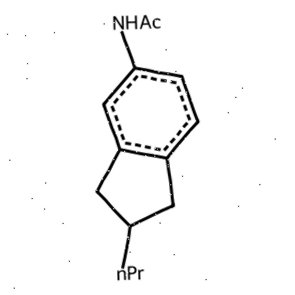 CCCC1Cc2ccc(NC(C)=O)cc2C1